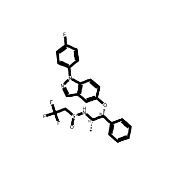 C[C@H](N[S+]([O-])CC(F)(F)F)[C@H](Oc1ccc2c(cnn2-c2ccc(F)cc2)c1)c1ccccc1